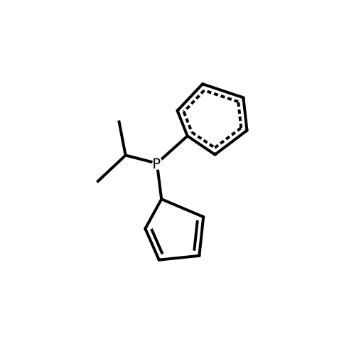 CC(C)P(c1ccccc1)C1C=CC=C1